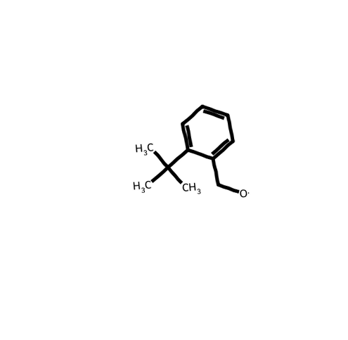 CC(C)(C)c1ccccc1C[O]